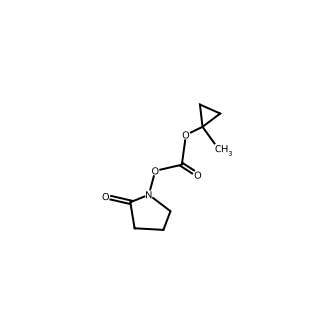 CC1(OC(=O)ON2CCCC2=O)CC1